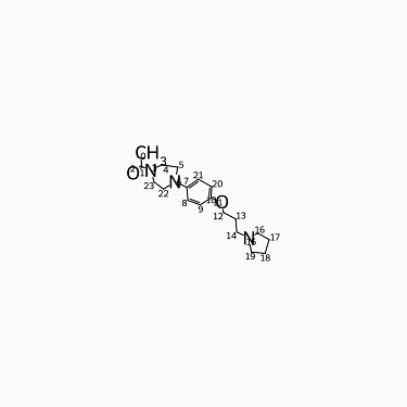 CC(=O)N1CCN(c2ccc(OCCCN3CCCC3)cc2)CC1